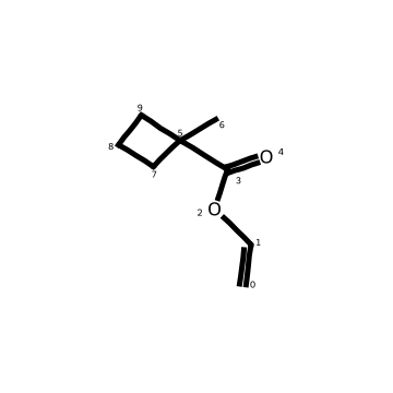 C=COC(=O)C1(C)CCC1